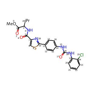 COC(=O)C(NC(=O)c1csc(-c2ccc(NC(=O)Nc3ccccc3Cl)cc2)n1)C(C)C